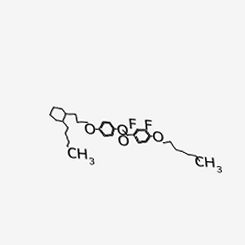 CCCCCCCOc1ccc(C(=O)Oc2ccc(OCCCC3CCCCC3CCCCC)cc2)c(F)c1F